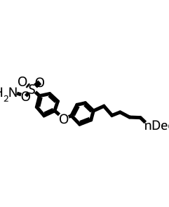 CCCCCCCCCCCCCCCc1ccc(Oc2ccc(S(=O)(=O)ON)cc2)cc1